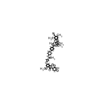 COc1cc(OC2CC(N(C)CC3CCN(c4ccc(C(=O)NC5C(C)(C)C(Oc6cc(C)c(C#N)c(C)c6)C5(C)C)cc4)CC3)C2)cc2c1C(=O)N([C@@H]1CCC(=O)NC1=O)C2=O